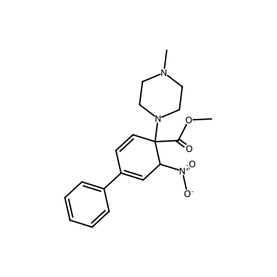 COC(=O)C1(N2CCN(C)CC2)C=CC(c2ccccc2)=CC1[N+](=O)[O-]